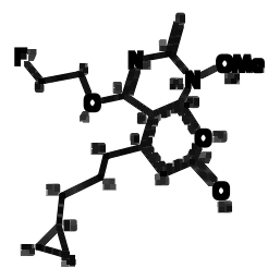 C=C1N=C(OCCF)c2c(CCCC3CC3)cc(=O)oc2N1OC